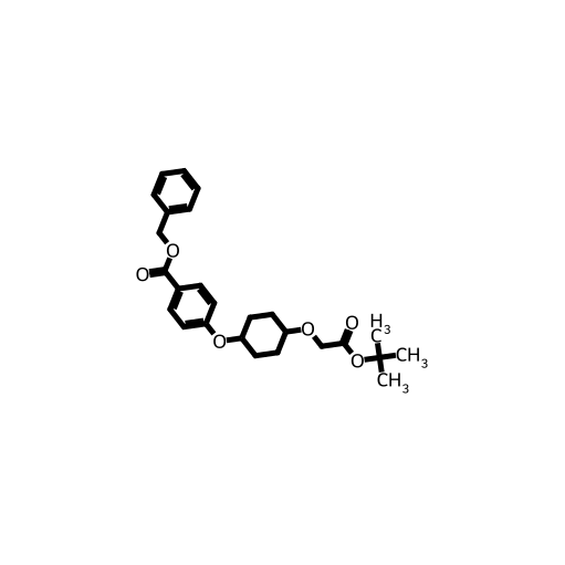 CC(C)(C)OC(=O)COC1CCC(Oc2ccc(C(=O)OCc3ccccc3)cc2)CC1